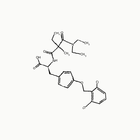 CCN(CC)C(=O)C(C)(CC)C(=O)N[C@@H](Cc1ccc(OCc2c(Cl)cccc2Cl)cc1)C(=O)O